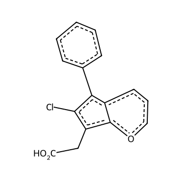 O=C(O)Cc1c2occcc-2c(-c2ccccc2)c1Cl